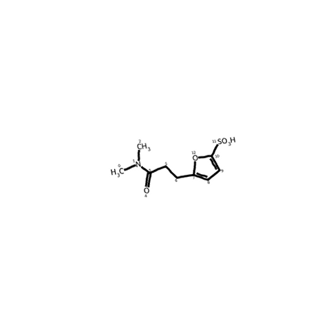 CN(C)C(=O)CCc1ccc(S(=O)(=O)O)o1